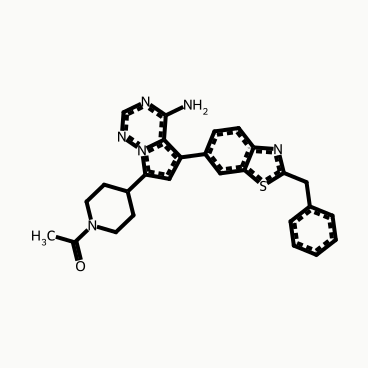 CC(=O)N1CCC(c2cc(-c3ccc4nc(Cc5ccccc5)sc4c3)c3c(N)ncnn23)CC1